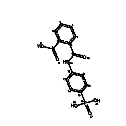 O=C(O)c1ccccc1C(=O)Nc1ccc(P(=O)(O)O)cc1